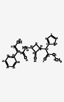 COC(=O)C(c1cccs1)N1CC(NC(=O)C(=NO)c2ccccc2)C1=O